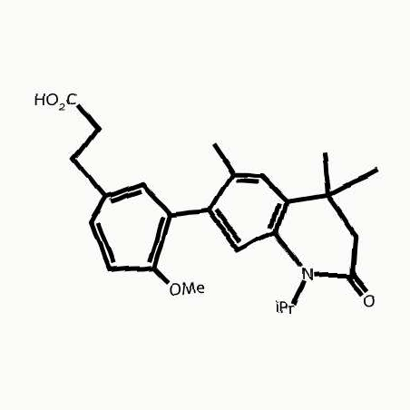 COc1ccc(CCC(=O)O)cc1-c1cc2c(cc1C)C(C)(C)CC(=O)N2C(C)C